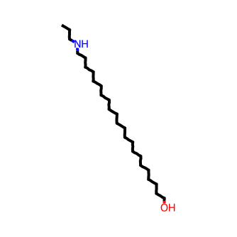 CCCNCCCCCCCCCCCCCCCCCCCCCCO